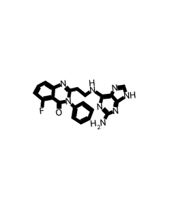 Nc1nc(NCCc2nc3cccc(F)c3c(=O)n2-c2ccccc2)c2nc[nH]c2n1